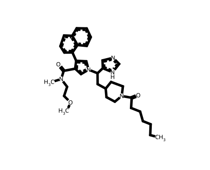 CCCCCCC(=O)N1CCC(CC(c2cnc[nH]2)n2cc(C(=O)N(C)CCOC)c(-c3cccc4ccccc34)c2)CC1